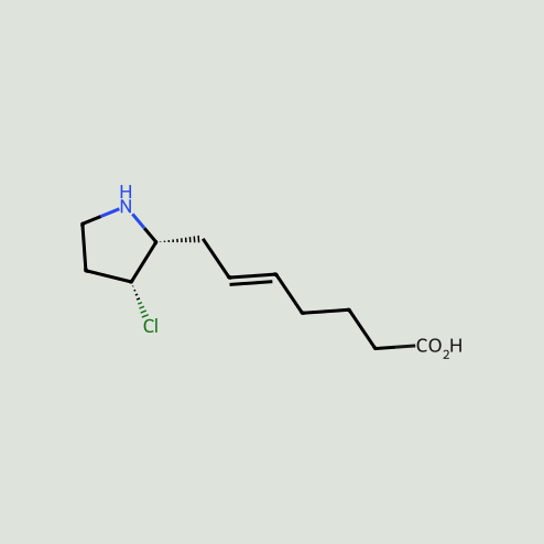 O=C(O)CCCC=CC[C@H]1NCC[C@H]1Cl